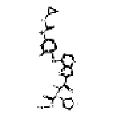 C[C@@H](C(=O)c1cc2nccc(Oc3ccc(NC(=O)NC4CC4)cc3F)c2s1)N(C(=O)OC(C)(C)C)C1CCNC1